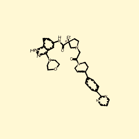 CC[C@@]1(C(=O)Nc2ccc3[nH]nc(N4CCOCC4)c3c2)CCN(CC(=O)N2CC=C(c3ccc(-c4ncccn4)cc3)CC2)C1